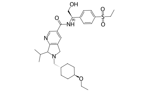 CCO[C@H]1CC[C@H](CN2Cc3cc(C(=O)N[C@@H](CO)c4ccc(S(=O)(=O)CC)cc4)cnc3C2C(C)C)CC1